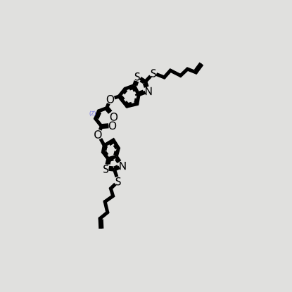 C=CCCCCSc1nc2ccc(OC(=O)/C=C\C(=O)Oc3ccc4nc(SCCCCC=C)sc4c3)cc2s1